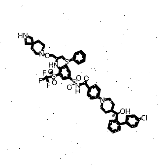 O=C(NS(=O)(=O)c1ccc(NC(CCN2CCC3(CC2)CNC3)CSc2ccccc2)c(S(=O)(=O)C(F)(F)F)c1)c1ccc(N2CCC([C@@H](O)c3ccccc3-c3ccc(Cl)cc3)CC2)cc1